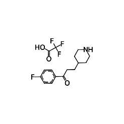 O=C(CCC1CCNCC1)c1ccc(F)cc1.O=C(O)C(F)(F)F